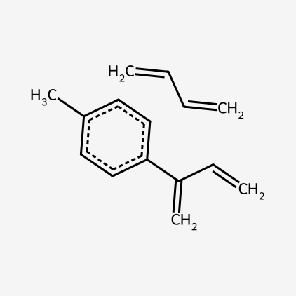 C=CC(=C)c1ccc(C)cc1.C=CC=C